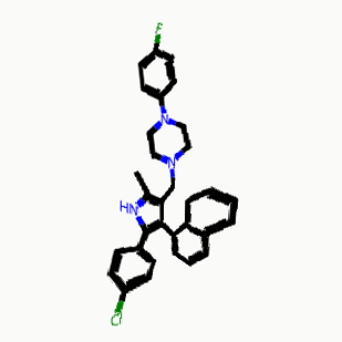 Cc1[nH]c(-c2ccc(Cl)cc2)c(-c2cccc3ccccc23)c1CN1CCN(c2ccc(F)cc2)CC1